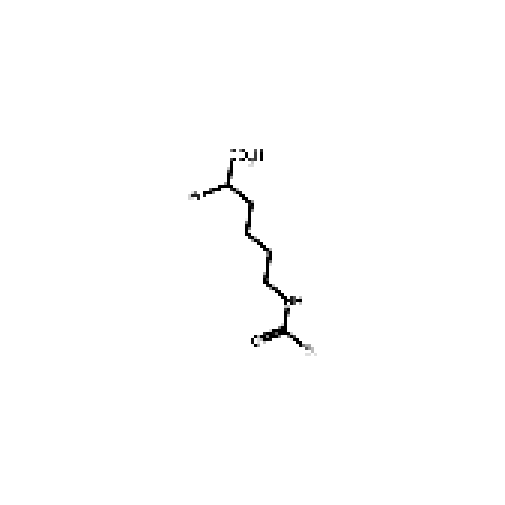 CCC(=O)NCCCCC(C(=O)O)C(C)C